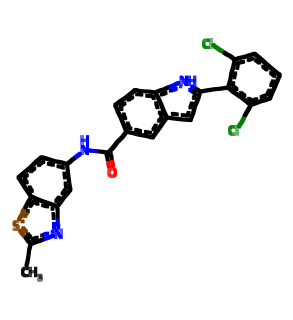 Cc1nc2cc(NC(=O)c3ccc4[nH]c(-c5c(Cl)cccc5Cl)cc4c3)ccc2s1